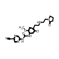 COc1cc(CCNCCN2CCCC2=O)c(Cl)cc1NC(=O)Nc1cnc(C#N)cn1